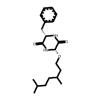 CC(C)CCC(C)CCO[C@@H]1NC(=O)[C@H](Cc2ccccc2)NC1=O